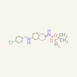 CC(C)(C)OC(=O)N[C@H]1CCc2cc(NCc3ccc(Cl)cc3)ccc2C1